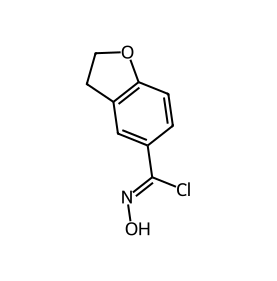 ON=C(Cl)c1ccc2c(c1)CCO2